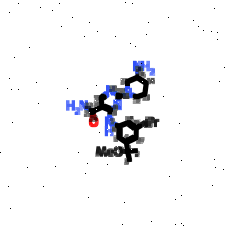 COC(C)(C)c1cc(Nc2nc(N3CCC[C@H](N)C3)ncc2C(N)=O)cc(C(C)C)c1